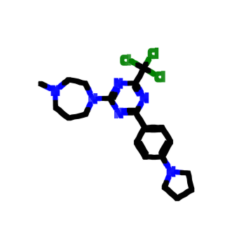 CN1CCCN(c2nc(-c3ccc(N4CCCC4)cc3)nc(C(Cl)(Cl)Cl)n2)CC1